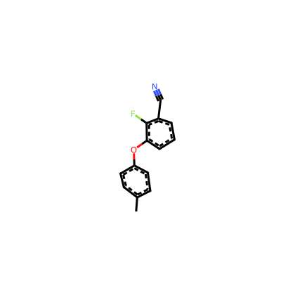 Cc1ccc(Oc2cccc(C#N)c2F)cc1